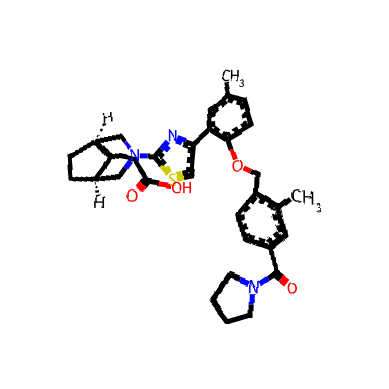 Cc1ccc(OCc2ccc(C(=O)N3CCCC3)cc2C)c(-c2csc(N3C[C@H]4CC[C@@H](C3)C4CC(=O)O)n2)c1